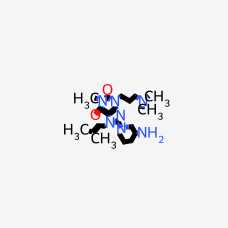 CC(C)=CCn1c(N2CCCC(N)C2)nc2c1c(=O)n(C)c(=O)n2CCCN(C)C